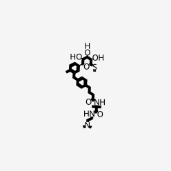 CSC1O[C@@H](c2ccc(C)c(Cc3ccc(CCCC(=O)NC(C)(C)C(=O)NCCN(C)C)cc3)c2)[C@H](O)[C@@H](O)[C@@H]1O